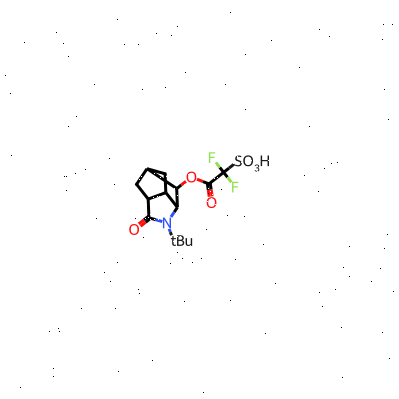 CC(C)(C)N1C(=O)C2CC3CC2C1C3OC(=O)C(F)(F)S(=O)(=O)O